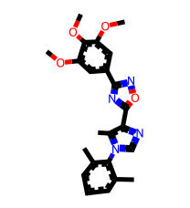 COc1cc(-c2noc(-c3ncn(-c4c(C)cccc4C)c3C)n2)cc(OC)c1OC